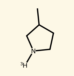 [3H]N1CCC(C)C1